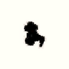 C#CCCN1CCC[C@H]1COc1nc2c(c(N3CCN(C(=O)C4=CC=CC=CN4C(c4ccccc4)(c4ccccc4)c4ccccc4)[C@@H](CC#N)C3)n1)CCN(c1cccc3cccc(C)c13)C2